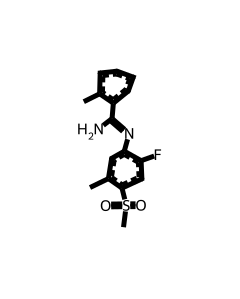 Cc1ccccc1/C(N)=N/c1cc(C)c(S(C)(=O)=O)cc1F